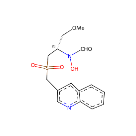 COC[C@@H](CS(=O)(=O)Cc1cnc2ccccc2c1)N(O)C=O